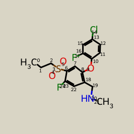 CCCS(=O)(=O)c1cc(Oc2ccc(Cl)cc2F)c(CNC)cc1F